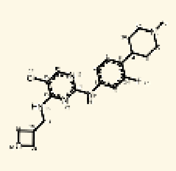 CN1CCC(c2ccc(Nc3ncc(Cl)c(NCC4COC4)n3)cc2F)CC1